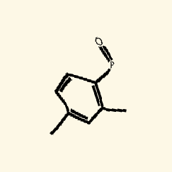 Cc1ccc(P=O)c(C)c1